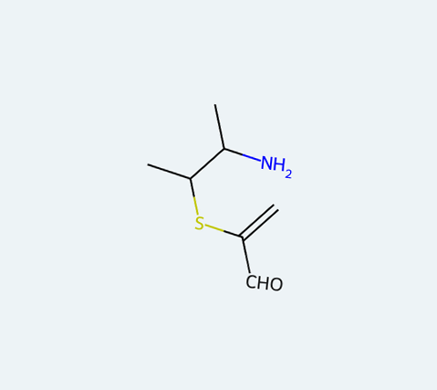 C=C(C=O)SC(C)C(C)N